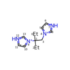 CCC(CC)(C[n+]1cc[nH]c1)[n+]1cc[nH]c1